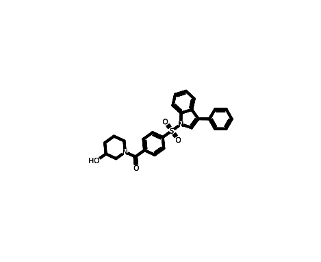 O=C(c1ccc(S(=O)(=O)n2cc(-c3ccccc3)c3ccccc32)cc1)N1CCCC(O)C1